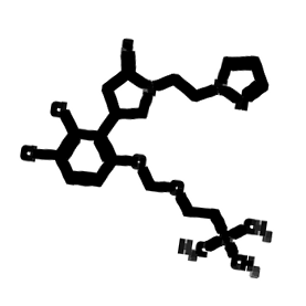 C[Si](C)(C)CCOCOc1ccc(Cl)c(Cl)c1C1CC(=S)N(CCn2cccn2)C1